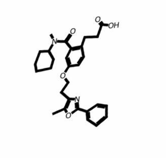 Cc1oc(-c2ccccc2)nc1CCOc1ccc(CCC(=O)O)c(C(=O)N(C)C2CCCCC2)c1